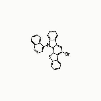 Brc1cc2c3ccccc3n(-c3cccc4ccccc34)c2c2sc3ccccc3c12